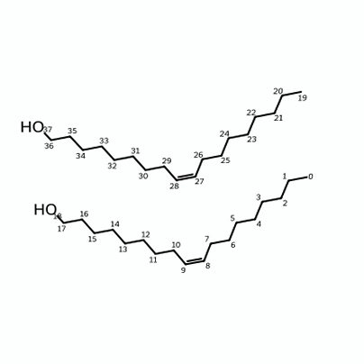 CCCCCCCC/C=C\CCCCCCCCO.CCCCCCCC/C=C\CCCCCCCCO